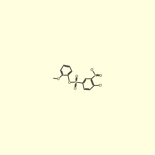 COc1ccccc1OS(=O)(=O)c1ccc(Cl)c([N+](=O)[O-])c1